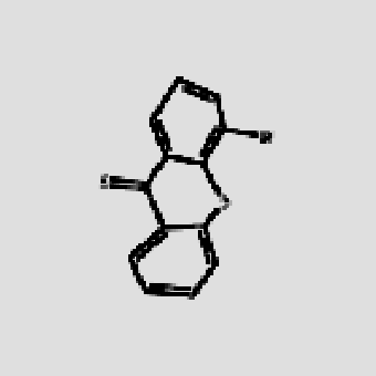 S=c1c2ccccc2oc2c(Br)cccc12